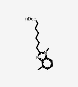 CCCCCCCCCCCCCCCCc1nc2c(C)cccc2n1C